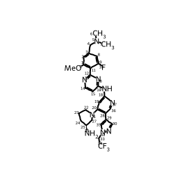 COc1cc(CN(C)C)cc(F)c1-c1nccc(Nc2cc(N3CCC[C@H](N)C3)c(-c3cnn(CC(F)(F)F)c3)cn2)n1